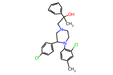 Cc1ccc(N2CCN(CC(C)(O)c3ccccc3)CC2c2ccc(Cl)cc2)c(Cl)c1